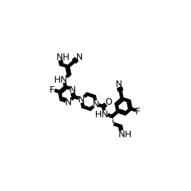 N#C/C(C=N)=C/Nc1nc(N2CCN(C(=O)N[C@@H](CC=N)c3cc(F)cc(C#N)c3)CC2)ncc1F